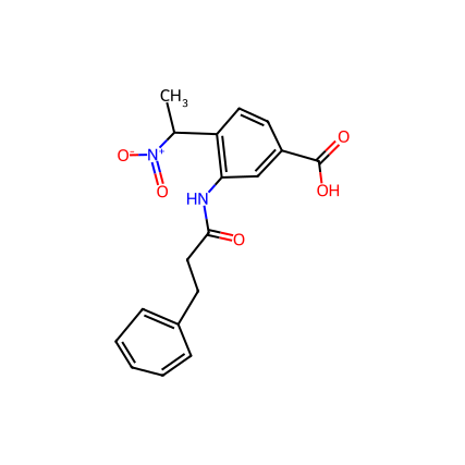 CC(c1ccc(C(=O)O)cc1NC(=O)CCc1ccccc1)[N+](=O)[O-]